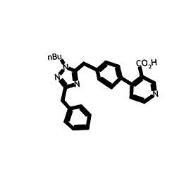 CCCCn1nc(Cc2ccccc2)nc1Cc1ccc(-c2ccncc2C(=O)O)cc1